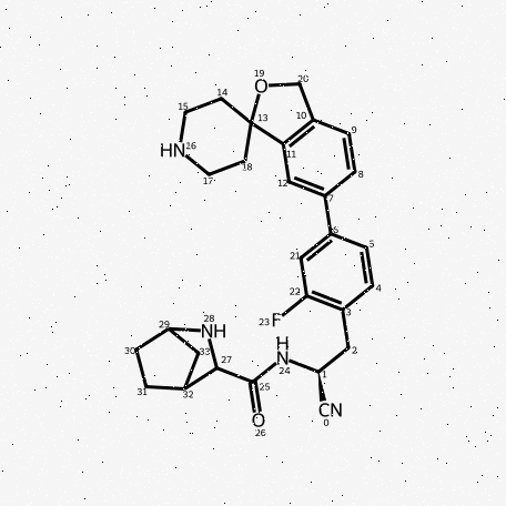 N#C[C@H](Cc1ccc(-c2ccc3c(c2)C2(CCNCC2)OC3)cc1F)NC(=O)C1NC2CCC1C2